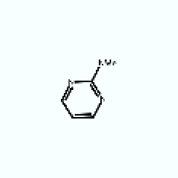 [CH]Nc1ncccn1